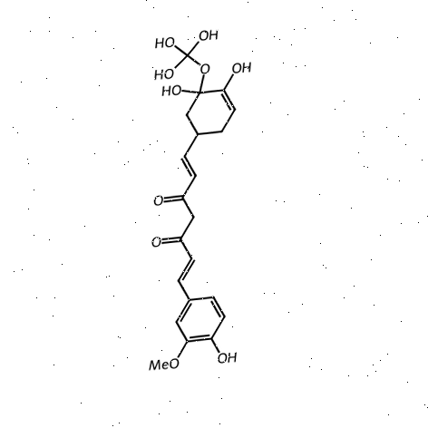 COc1cc(C=CC(=O)CC(=O)C=CC2CC=C(O)C(O)(OC(O)(O)O)C2)ccc1O